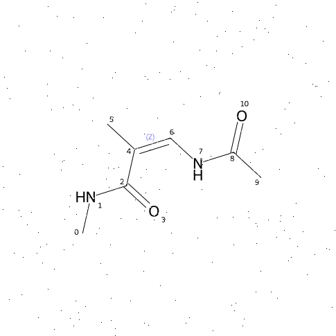 CNC(=O)/C(C)=C\NC(C)=O